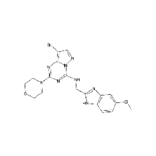 COc1ccc2[nH]c(CNc3nc(N4CCOCC4)nc4c(Br)cnn34)nc2c1